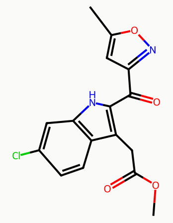 COC(=O)Cc1c(C(=O)c2cc(C)on2)[nH]c2cc(Cl)ccc12